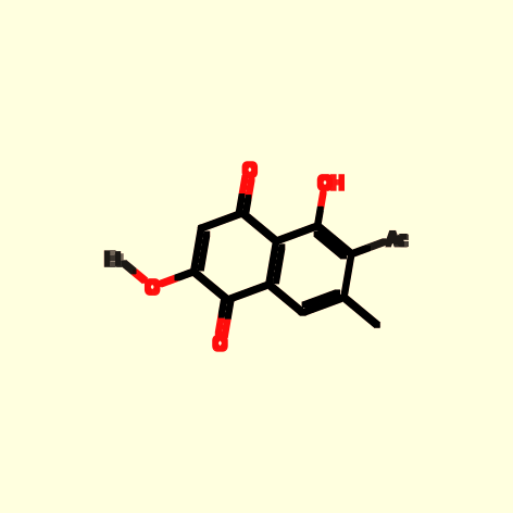 CCOC1=CC(=O)c2c(cc(C)c(C(C)=O)c2O)C1=O